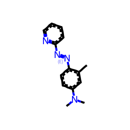 Cc1cc(N(C)C)ccc1/N=N/c1ccccn1